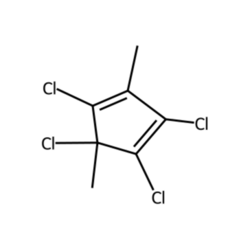 CC1=C(Cl)C(C)(Cl)C(Cl)=C1Cl